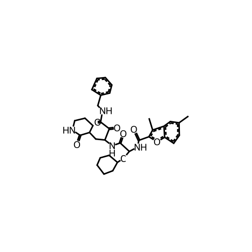 Cc1ccc2oc(C(=O)NC(CC3CCCCC3)C(=O)NC(CC3CCCNC3=O)C(=O)C(=O)NCc3ccccc3)c(C)c2c1